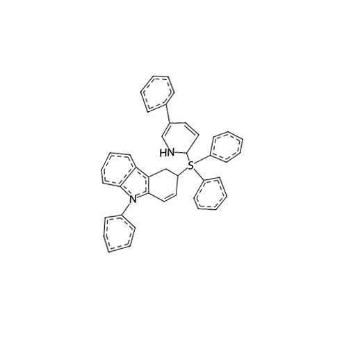 C1=CC(S(c2ccccc2)(c2ccccc2)C2C=Cc3c(c4ccccc4n3-c3ccccc3)C2)NC=C1c1ccccc1